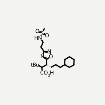 CC(C)(C)C(C(=O)O)[C@@H](CCCC1CCCCC1)c1nc(CCNS(C)(=O)=O)no1